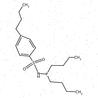 CCCCc1ccc(S(=O)(=O)NP(CCCC)CCCC)cc1